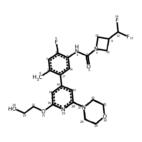 Cc1cc(F)c(NC(=O)N2CC(C(F)F)C2)cc1-c1cc(OCCO)nc(N2CCOCC2)c1